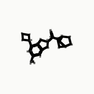 Cc1nc2c(c(N3CCC3)n1)CN(C(=O)C1CC3CCC1C3)C2